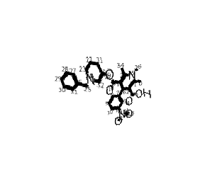 CC1=C(C(=O)O)C(c2cccc([N+](=O)[O-])c2)C(C(=O)OC2CCCN(Cc3ccccc3)C2)=C(C)N1C